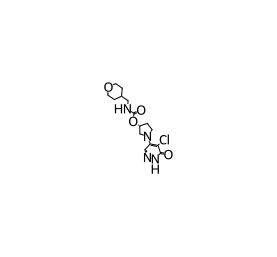 O=C(NCC1CCOCC1)O[C@@H]1CCN(c2cn[nH]c(=O)c2Cl)C1